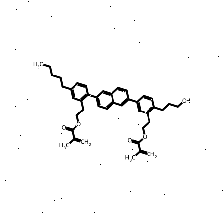 C=C(C)C(=O)OCCc1cc(-c2ccc3cc(-c4ccc(CCCCC)cc4CCOC(=O)C(=C)C)ccc3c2)ccc1CCCO